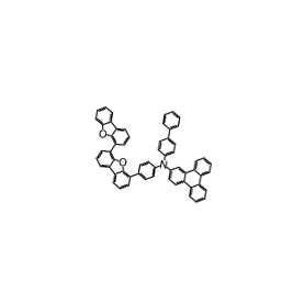 c1ccc(-c2ccc(N(c3ccc(-c4cccc5c4oc4c(-c6cccc7c6oc6ccccc67)cccc45)cc3)c3ccc4c5ccccc5c5ccccc5c4c3)cc2)cc1